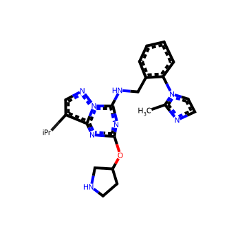 Cc1nccn1-c1ccccc1CNc1nc(OC2CCNC2)nc2c(C(C)C)cnn12